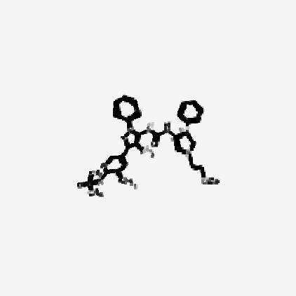 COCCN1C[C@@H](NC(=O)Nc2c(C)c(-c3cnc(N=S(C)(C)=O)c(C)c3)nn2-c2ccccc2)[C@H](c2ccccc2)C1